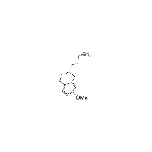 COc1ccc2c(c1)C[C@@H](CCCN)CC2